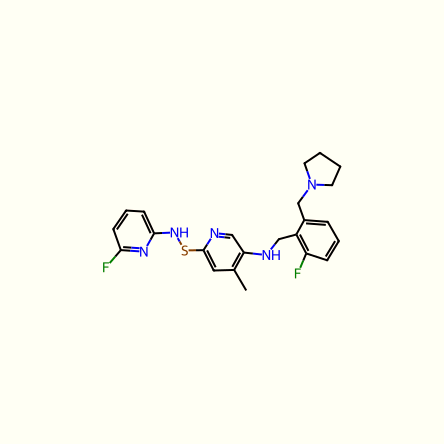 Cc1cc(SNc2cccc(F)n2)ncc1NCc1c(F)cccc1CN1CCCC1